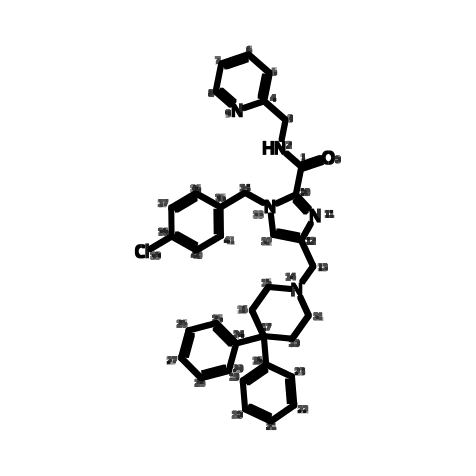 O=C(NCc1ccccn1)c1nc(CN2CCC(c3ccccc3)(c3ccccc3)CC2)cn1Cc1ccc(Cl)cc1